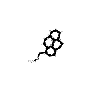 [SiH2]OCc1ccc2ccc3cccc4ccc1c2c34